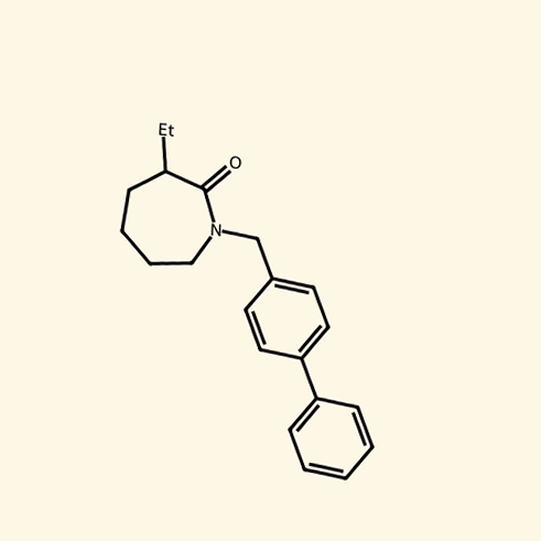 CCC1CCCCN(Cc2ccc(-c3ccccc3)cc2)C1=O